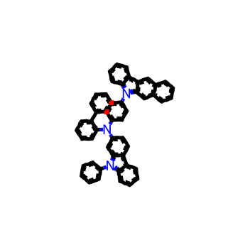 c1ccc(-c2ccccc2N(c2ccc(-n3c4ccccc4c4cc5ccccc5cc43)cc2)c2ccc3c4ccccc4n(-c4ccccc4)c3c2)cc1